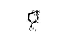 CN1CC[15NH][13CH2][13CH2]1